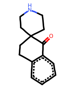 O=C1c2ccccc2CCC12CCNCC2